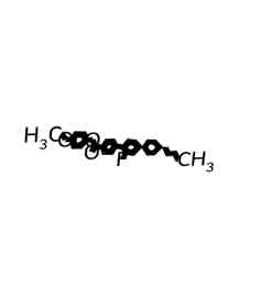 CCCCC[C@H]1CC[C@H](c2ccc(-c3ccc(C(=O)Oc4ccc(OCC)cc4)cc3)c(F)c2)CC1